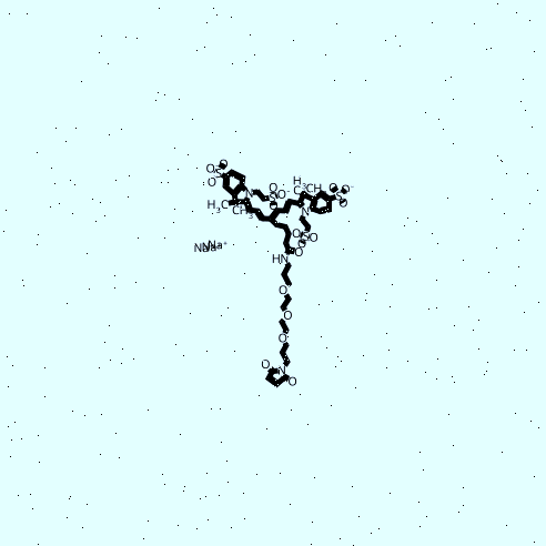 CC1(C)C(=CC=CC(=CC=CC2=[N+](CCS(=O)(=O)[O-])c3ccc(S(=O)(=O)[O-])cc3C2(C)C)CCCCC(=O)NCCCOCCOCCOCCCN2C(=O)C=CC2=O)N(CCS(=O)(=O)[O-])c2ccc(S(=O)(=O)[O-])cc21.[Na+].[Na+].[Na+]